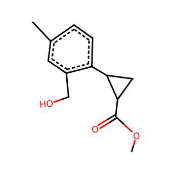 COC(=O)C1CC1c1ccc(C)cc1CO